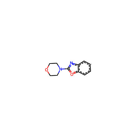 [c]1ccc2oc(N3CCOCC3)nc2c1